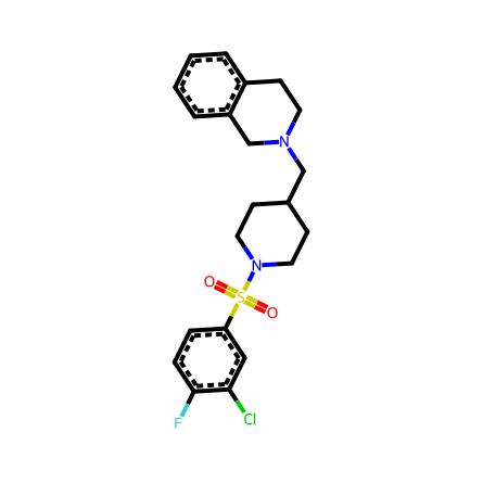 O=S(=O)(c1ccc(F)c(Cl)c1)N1CCC(CN2CCc3ccccc3C2)CC1